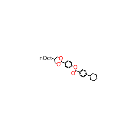 CCCCCCCCC1COC(c2ccc(OC(=O)c3ccc(C4CCCCC4)cc3)cc2)OC1